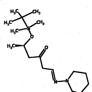 C[C@H](CC(=O)C/C=N/N1CCCCC1)O[Si](C)(C)C(C)(C)C